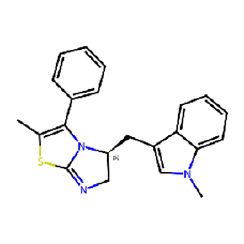 CC1=C(c2ccccc2)N2C(=NC[C@@H]2Cc2cn(C)c3ccccc23)S1